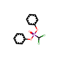 O=P(Oc1ccccc1)(Oc1ccccc1)C(Cl)Cl